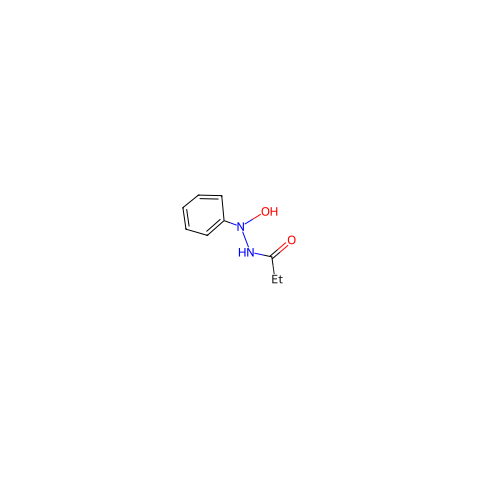 CCC(=O)NN(O)c1ccccc1